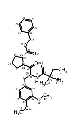 CC[C@](C)(N)C(=O)N[C@@H](Cc1ccc(OC)c(OC)c1)C(=O)N1CCC[C@@H]1C(=O)OCc1ccccc1